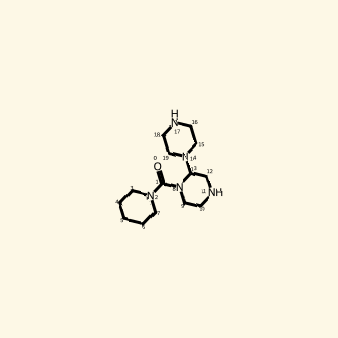 O=C(N1CCCCC1)N1CCNCC1N1CCNCC1